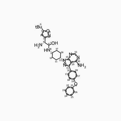 CC(C)(C)c1cc([C@@H](N)C(O)N[C@H]2CC[C@@H](n3nc(-c4ccc(Oc5ccccc5)cc4)c4c(N)ncnc43)CC2)no1